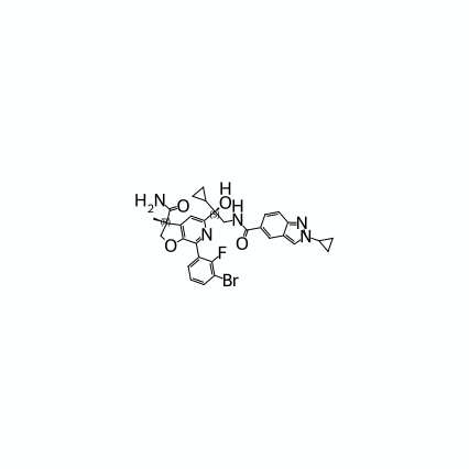 C[C@]1(C(N)=O)COc2c1cc([C@@](O)(CNC(=O)c1ccc3nn(C4CC4)cc3c1)C1CC1)nc2-c1cccc(Br)c1F